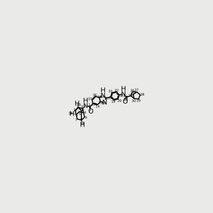 O=C(NC1C2C[C@H]3C[C@@H](C2)C[C@@H]1C3)C1=CC2N=C(c3ccc(NC(=O)C4CC5CCC4C5)cc3)NC2C=C1